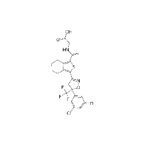 C=C(NCC(=O)O)c1sc(C2=NOC(c3cc(Cl)cc(Cl)c3)(C(F)(F)F)C2)c2c1CCCC2